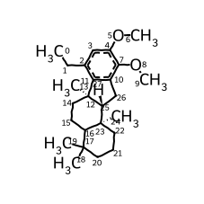 CCc1cc(OC)c(OC)c2c1[C@]1(C)CCC3C(C)(C)CCC[C@]3(C)[C@H]1C2